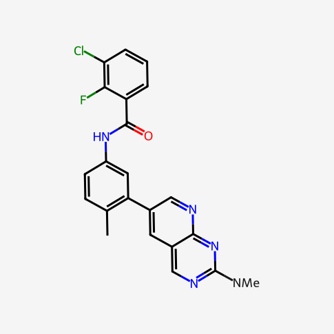 CNc1ncc2cc(-c3cc(NC(=O)c4cccc(Cl)c4F)ccc3C)cnc2n1